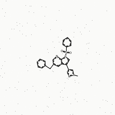 Cn1cc(-c2cn(S(=O)(=O)c3ccccc3)c3ncc(Cc4ccccc4)cc23)cn1